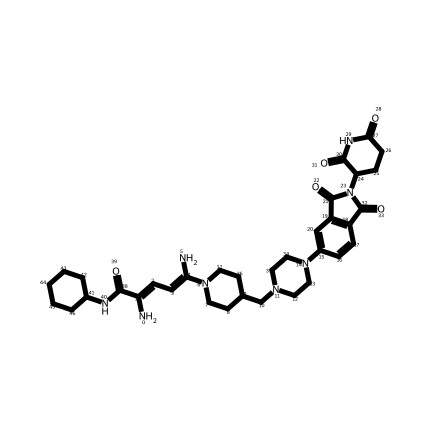 N/C(=C\C=C(/N)N1CCC(CN2CCN(c3ccc4c(c3)C(=O)N(C3CCC(=O)NC3=O)C4=O)CC2)CC1)C(=O)NC1CCCCC1